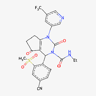 CCNC(=O)N1C(=O)N(c2cncc(C(F)(F)F)c2)C2=C(C(=O)CC2)C1c1ccc(C#N)cc1S(C)(=O)=O